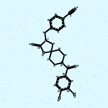 N#Cc1ccc(CN2CC3(CCN(C(=O)c4ccc(Cl)c(Cl)c4)CC3)OC2=O)cc1